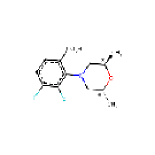 C[C@@H]1CN(c2c(C(=O)O)ccc(F)c2F)C[C@@H](C)O1